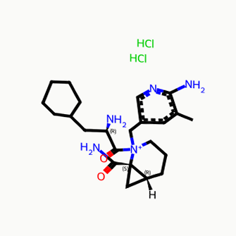 Cc1cc(C[N+]2(C(=O)[C@H](N)CC3CCCCC3)CCC[C@@H]3C[C@@]32C(N)=O)cnc1N.Cl.Cl